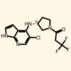 O=C(CC(F)(F)F)N1CC[C@@H](Nc2c(Cl)cnc3[nH]ccc23)C1